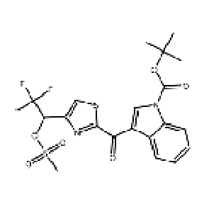 CC(C)(C)OC(=O)n1cc(C(=O)c2nc(C(OS(C)(=O)=O)C(F)(F)F)cs2)c2ccccc21